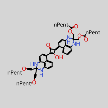 CCCCCOC#CC1(C#COCCCCC)Nc2cccc3c(C4=C(O)/C(=C5/C=CC6NC(COC(=O)CCCCC)(COC(=O)CCCCC)Nc7cccc5c76)C4=O)ccc(c23)N1